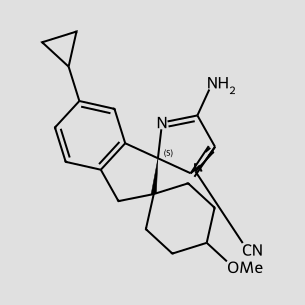 COC1CCC2(CC1)Cc1ccc(C3CC3)cc1[C@@]21N=C(N)c2ccc(C#N)cc21